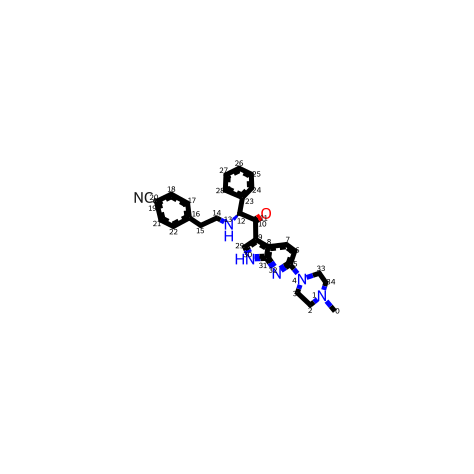 CN1CCN(c2ccc3c(C(=O)[C@@H](NCCc4ccc(C#N)cc4)c4ccccc4)c[nH]c3n2)CC1